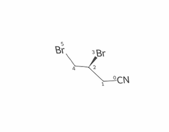 N#CC[C@H](Br)CBr